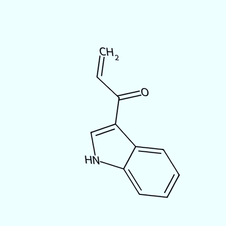 C=CC(=O)c1c[nH]c2ccccc12